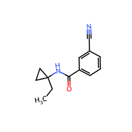 CCC1(NC(=O)c2cccc(C#N)c2)CC1